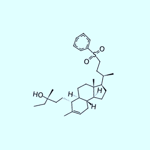 CC[C@](C)(O)CC[C@H]1C(C)=CC[C@@H]2[C@@H]1CC[C@]1(C)[C@@H]([C@H](C)CCS(=O)(=O)c3ccccc3)CC[C@@H]21